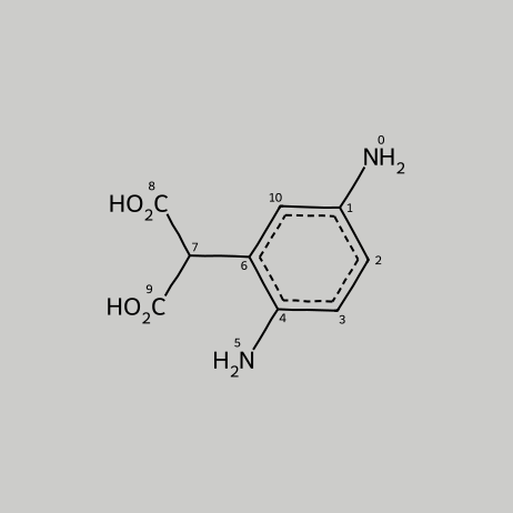 Nc1ccc(N)c(C(C(=O)O)C(=O)O)c1